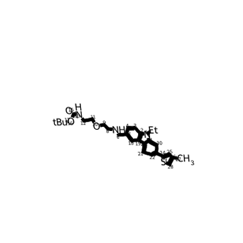 CCn1c2ccc(CNCCOCCNC(=O)OC(C)(C)C)cc2c2ccc(-c3cc(C)cs3)cc21